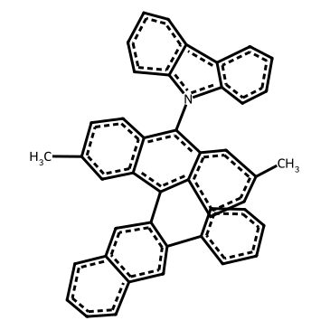 Cc1ccc2c(-n3c4ccccc4c4ccccc43)c3cc(C)ccc3c(-c3cc4ccccc4cc3-c3ccccc3)c2c1